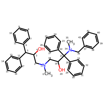 CN(CC(O)C(c1ccccc1)c1ccccc1)CC(O)C(c1ccccc1)(c1ccccc1)N(C)Cc1ccccc1